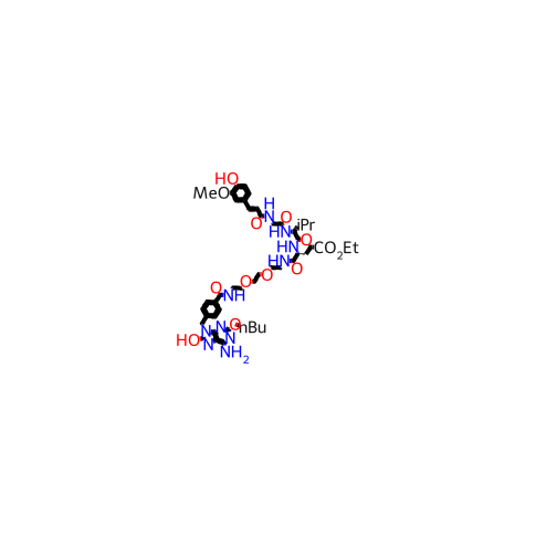 CCCCOc1nc(N)c2nc(O)n(Cc3ccc(C(=O)NCCOCCOCCNC(=O)[C@@H](CCC(=O)OCC)NC(=O)C(NC(=O)CNC(=O)/C=C/c4ccc(O)c(OC)c4)C(C)C)cc3)c2n1